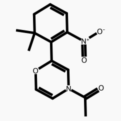 CC(=O)N1C=COC(C2=C([N+](=O)[O-])C=CCC2(C)C)=C1